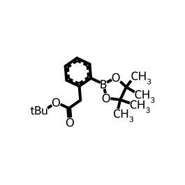 CC(C)(C)OC(=O)Cc1ccccc1B1OC(C)(C)C(C)(C)O1